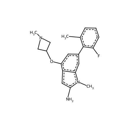 Cc1cccc(F)c1-c1cc(OC2CN(C)C2)c2cc(N)n(C)c2c1